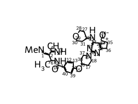 CN/C=C(\C(C)=N)C(C)NC(=O)c1ccc(OC2CCN(c3nc4c(c(NC5CCOCC5)n3)[S+]([O-])CC4)CC2)cc1